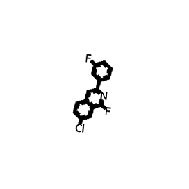 Fc1cccc(-c2cc3ccc(Cl)cc3c(F)n2)c1